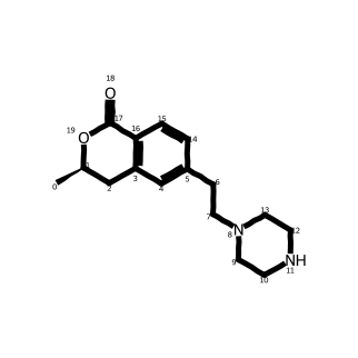 C[C@@H]1Cc2cc(CCN3CCNCC3)ccc2C(=O)O1